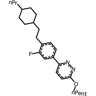 CCCCCOc1ccc(-c2ccc(CCC3CCC(CCC)CC3)c(F)c2)nn1